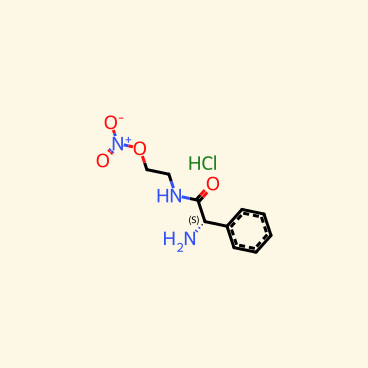 Cl.N[C@H](C(=O)NCCO[N+](=O)[O-])c1ccccc1